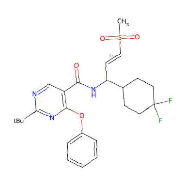 CC(C)(C)c1ncc(C(=O)NC(/C=C/S(C)(=O)=O)C2CCC(F)(F)CC2)c(Oc2ccccc2)n1